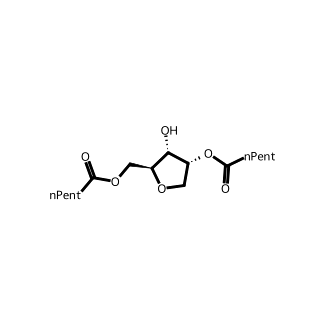 CCCCCC(=O)OC[C@@H]1OC[C@@H](OC(=O)CCCCC)[C@H]1O